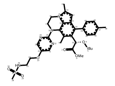 COC(=O)[C@@H](OC(C)(C)C)c1c(C)c2c3c(cc(C)n3CCN2c2ncc(OCCNS(C)(=O)=O)cn2)c1-c1ccc(C)cc1